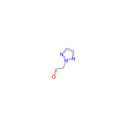 O=[C]Cn1nccn1